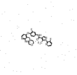 Nc1nccc(Oc2ccc(NC(=O)c3cnn(-c4ncccc4F)c3C(F)(F)F)cc2F)c1CN1CCOCC1